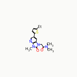 CCc1ccc(-c2cnc3c(c2)n(CC(=O)N(C)C)c(=O)n3C)s1